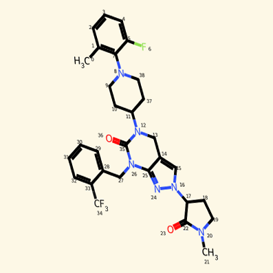 Cc1cccc(F)c1N1CCC(N2Cc3cn(C4CCN(C)C4=O)nc3N(Cc3ccccc3C(F)(F)F)C2=O)CC1